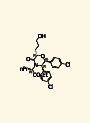 CCC[C@H](C(=O)OCC)N1C(=O)[C@H](CCCO)O[C@@H](c2ccc(Cl)cc2)[C@H]1c1ccc(Cl)cc1